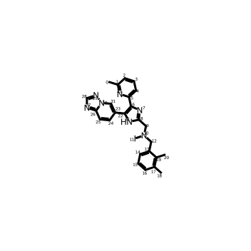 Cc1cccc(-c2nc(CN(I)Cc3cccc(C)c3C)[nH]c2-c2ccc3ncnn3c2)n1